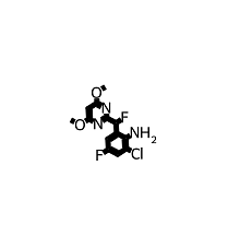 COc1cc(OC)nc(C(F)c2cc(F)cc(Cl)c2N)n1